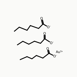 CCCCCC(=O)[O-].CCCCCC(=O)[O-].CCCCCC(=O)[O-].[Au+3]